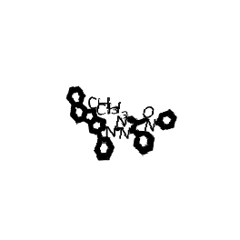 CC1(C)c2cc3c(cc2-c2ccc4ccccc4c21)c1ccccc1n3-c1ncc2c(=O)n(-c3ccccc3)c3ccccc3c2n1